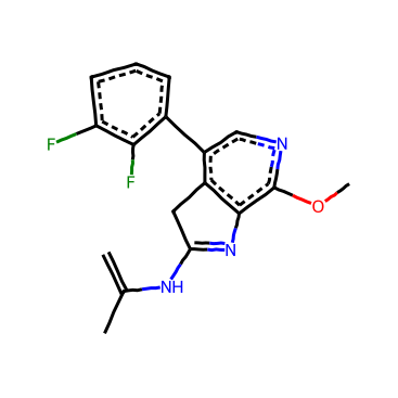 C=C(C)NC1=Nc2c(OC)ncc(-c3cccc(F)c3F)c2C1